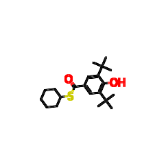 CC(C)(C)c1cc(C(=O)SC2CCCCC2)cc(C(C)(C)C)c1O